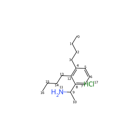 CCCCc1cccc(C(C)N)c1CCCC.Cl